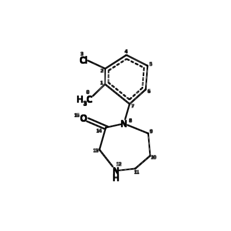 Cc1c(Cl)cccc1N1CCCNCC1=O